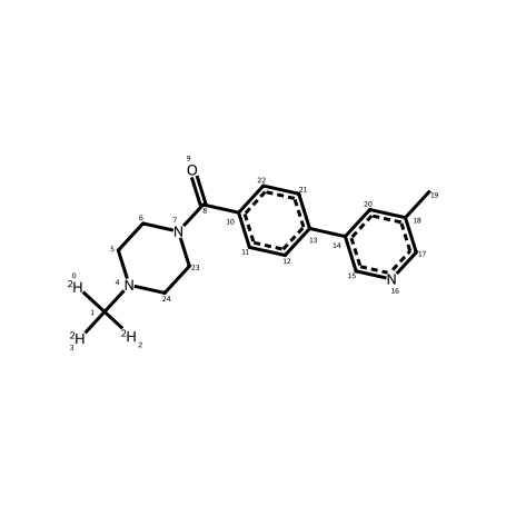 [2H]C([2H])([2H])N1CCN(C(=O)c2ccc(-c3cncc(C)c3)cc2)CC1